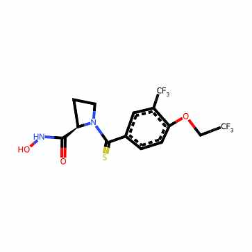 O=C(NO)[C@H]1CCN1C(=S)c1ccc(OCC(F)(F)F)c(C(F)(F)F)c1